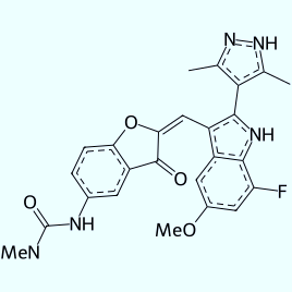 CNC(=O)Nc1ccc2c(c1)C(=O)C(=Cc1c(-c3c(C)n[nH]c3C)[nH]c3c(F)cc(OC)cc13)O2